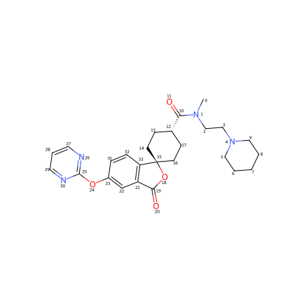 CN(CCN1CCCCC1)C(=O)[C@H]1CC[C@@]2(CC1)OC(=O)c1cc(Oc3ncccn3)ccc12